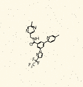 Cc1ccc(-c2cc(C(=O)NCc3cnc(C)cn3)cc(-n3ccc(C(F)(F)C(F)(F)F)n3)c2)nc1